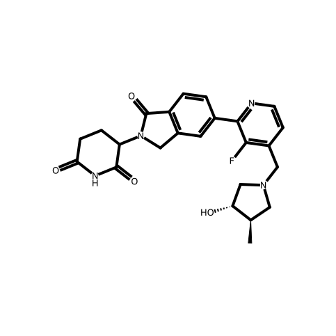 C[C@@H]1CN(Cc2ccnc(-c3ccc4c(c3)CN(C3CCC(=O)NC3=O)C4=O)c2F)C[C@H]1O